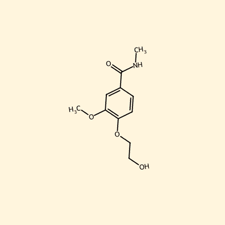 CNC(=O)c1ccc(OCCO)c(OC)c1